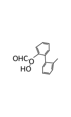 Cc1ccccc1-c1ccccc1C.O=COO